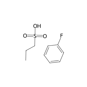 CCCS(=O)(=O)O.Fc1ccccc1